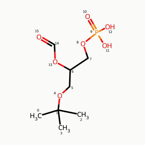 CC(C)(C)OCC(COP(=O)(O)O)OC=O